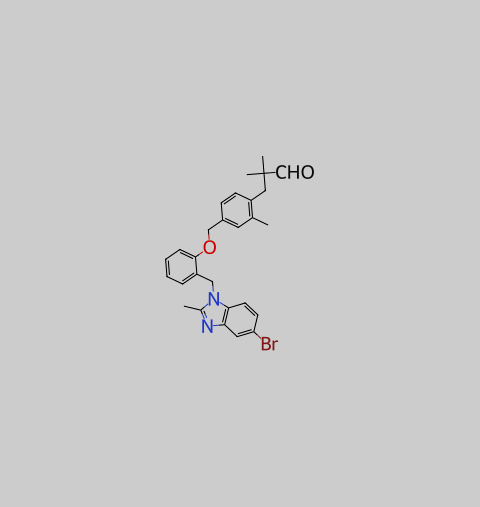 Cc1cc(COc2ccccc2Cn2c(C)nc3cc(Br)ccc32)ccc1CC(C)(C)C=O